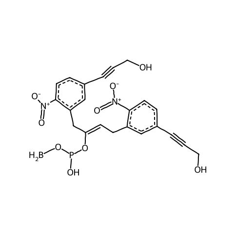 BOP(O)OC(=CCc1cc(C#CCO)ccc1[N+](=O)[O-])Cc1cc(C#CCO)ccc1[N+](=O)[O-]